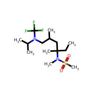 CCC(C)(CC(C)CN(C(C)C)C(F)(F)F)N(C)S(C)(=O)=O